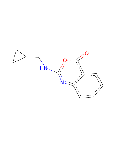 O=c1oc(NCC2CC2)nc2ccccc12